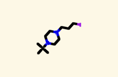 C[Si](C)(C)N1CCN(CCCI)CC1